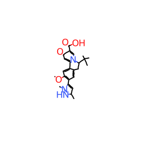 COc1cc2c(cc1C1=CC(C)NN1C)CC(C(C)(C)C)n1cc(C(=O)O)c(=O)cc1-2